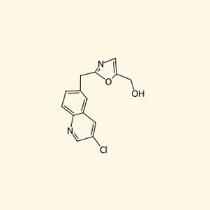 OCc1cnc(Cc2ccc3ncc(Cl)cc3c2)o1